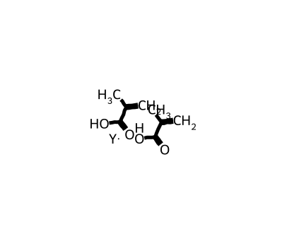 C=C(C)C(=O)O.C=C(C)C(=O)O.[Y]